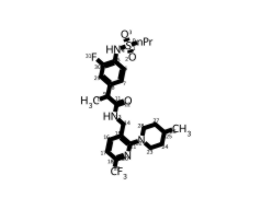 CCCS(=O)(=O)Nc1ccc(C(C)C(=O)NCc2ccc(C(F)(F)F)nc2N2CCC(C)CC2)cc1F